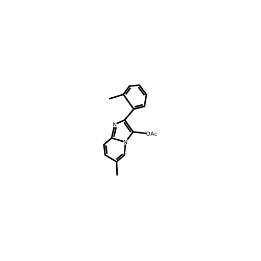 CC(=O)Oc1c(-c2ccccc2C)nc2ccc(C)cn12